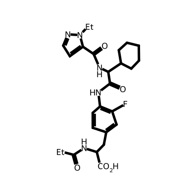 CCC(=O)NC(Cc1ccc(NC(=O)C(NC(=O)c2ccnn2CC)C2CCCCC2)c(F)c1)C(=O)O